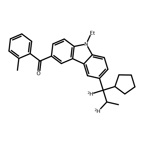 [2H]C(C)C([2H])(c1ccc2c(c1)c1cc(C(=O)c3ccccc3C)ccc1n2CC)C1CCCC1